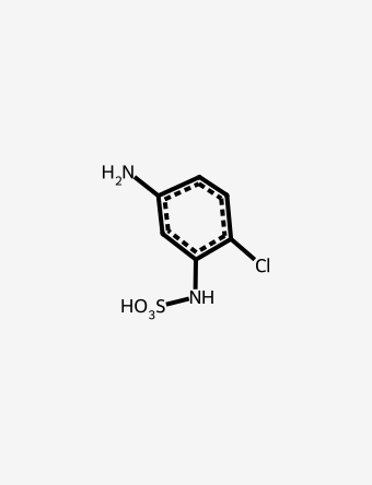 Nc1ccc(Cl)c(NS(=O)(=O)O)c1